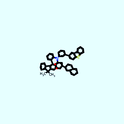 CC1(C)c2ccccc2-c2c(-c3ccccc3N(c3cccc(-c4ccc5ccccc5c4)c3)c3cccc(-c4ccc5sc6ccccc6c5c4)c3)cccc21